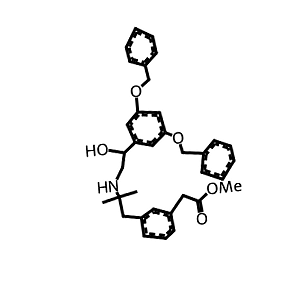 COC(=O)Cc1cccc(CC(C)(C)NCC(O)c2cc(OCc3ccccc3)cc(OCc3ccccc3)c2)c1